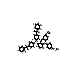 CC(C)(C)c1ccc(N2c3ccc(C(C)(C)C)cc3B3c4cc(C(C)(C)c5ccccc5)ccc4N(c4ccc(C(C)(C)c5ccccc5)cc4)c4cccc2c43)cc1